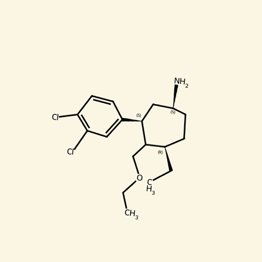 CCOCC1[C@H](CC)CC[C@H](N)C[C@@H]1c1ccc(Cl)c(Cl)c1